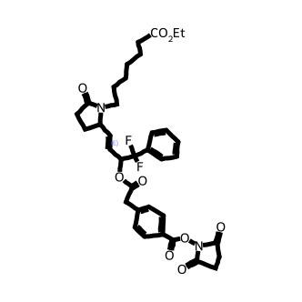 CCOC(=O)CCCCCCN1C(=O)CCC1/C=C/C(OC(=O)Cc1ccc(C(=O)ON2C(=O)CCC2=O)cc1)C(F)(F)c1ccccc1